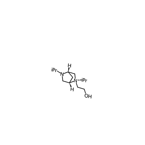 CC(C)N1C[C@@H]2C[C@H]1C[N+]2(CCO)C(C)C